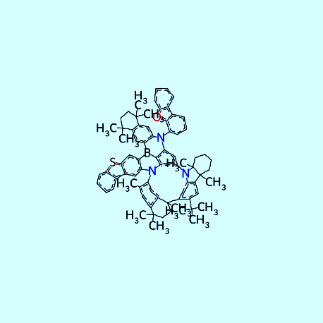 Cc1cc2c3cc1N1c4cc5c(cc4B4c6cc7c(cc6N(c6cccc8c6oc6ccccc68)c6cc(cc1c64)N1c4cc(c(C(C)(C)C)cc4C4(C)CCCCC14C)C3(C)CCC2(C)C)C(C)(C)CCC7(C)C)sc1ccccc15